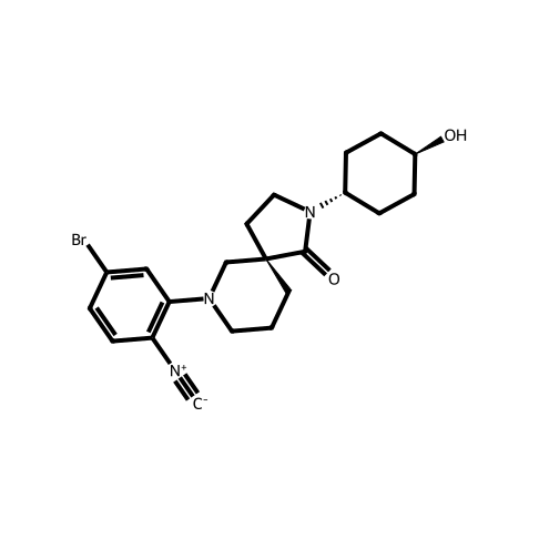 [C-]#[N+]c1ccc(Br)cc1N1CCC[C@]2(CCN([C@H]3CC[C@H](O)CC3)C2=O)C1